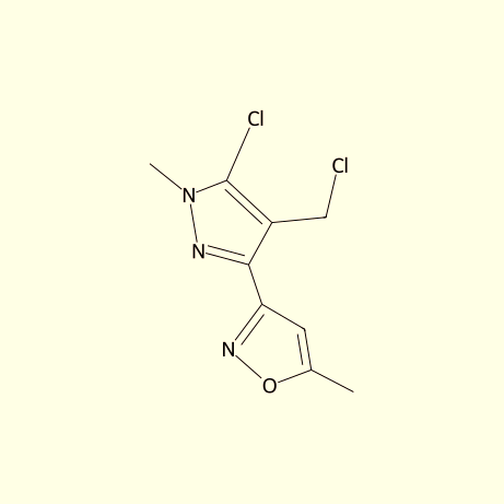 Cc1cc(-c2nn(C)c(Cl)c2CCl)no1